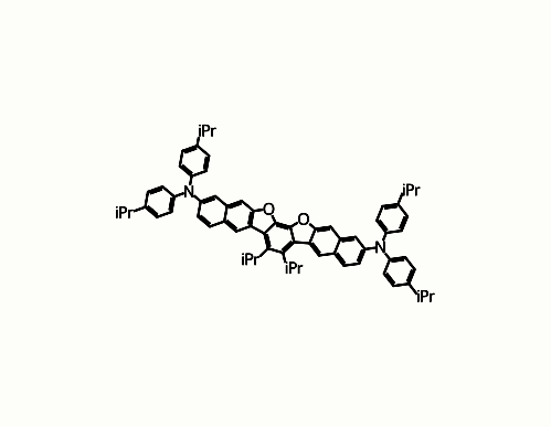 CC(C)c1ccc(N(c2ccc(C(C)C)cc2)c2ccc3cc4c(cc3c2)oc2c3oc5cc6cc(N(c7ccc(C(C)C)cc7)c7ccc(C(C)C)cc7)ccc6cc5c3c(C(C)C)c(C(C)C)c42)cc1